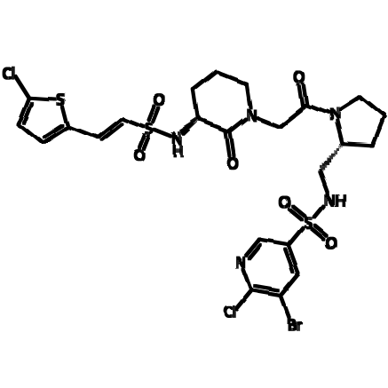 O=C1[C@@H](NS(=O)(=O)/C=C/c2ccc(Cl)s2)CCCN1CC(=O)N1CCC[C@@H]1CNS(=O)(=O)c1cnc(Cl)c(Br)c1